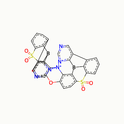 O=S1(=O)c2cccc3c2B2c4c1ccc1c4[N+]4(c5c(ccc6c5B5c7c(cccc7S6(=O)=O)-c6cnc[n+]4c65)O1)[n+]1cncc-3c12